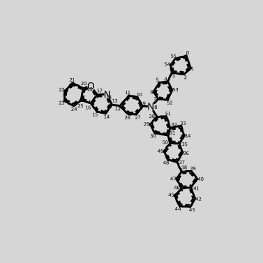 c1ccc(-c2ccc(N(c3ccc(-c4ccc5c(n4)oc4ccccc45)cc3)c3ccc4c(ccc5cc(-c6ccc7ccccc7c6)ccc54)c3)cc2)cc1